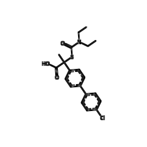 CCN(CC)C(=O)SC(C)(C(=O)O)c1ccc(-c2ccc(Cl)cc2)cc1